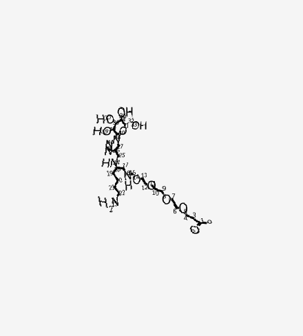 CC(=O)CCOCCOCCOCCOCNCC(CCCCN)NCc1cn(C2O[C@@H](CO)[C@@H](O)[C@@H](O)[C@@H]2O)nn1